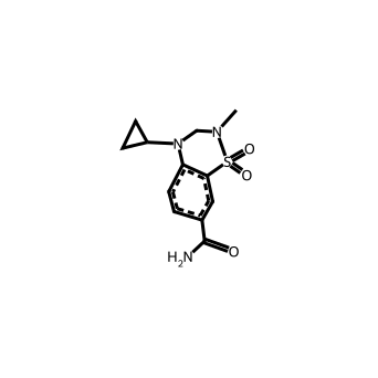 CN1CN(C2CC2)c2ccc(C(N)=O)cc2S1(=O)=O